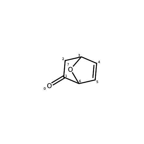 O=C1CC2C=CC1O2